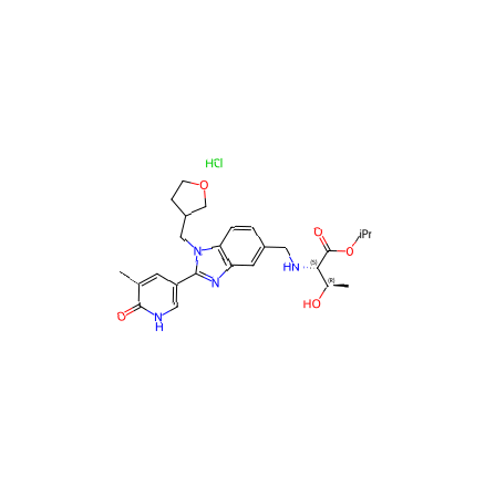 Cc1cc(-c2nc3cc(CN[C@H](C(=O)OC(C)C)[C@@H](C)O)ccc3n2CC2CCOC2)c[nH]c1=O.Cl